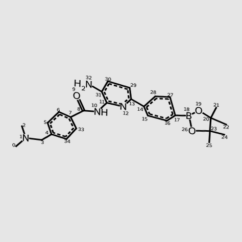 CN(C)Cc1ccc(C(=O)Nc2nc(-c3ccc(B4OC(C)(C)C(C)(C)O4)cc3)ccc2N)cc1